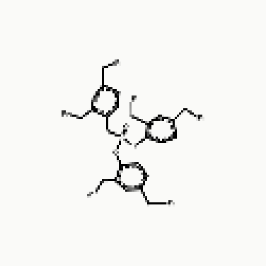 CC(C)Cc1ccc(OP(=O)(Oc2ccc(CC(C)C)cc2CC(C)C)Oc2ccc(CC(C)C)cc2CC(C)C)c(CC(C)C)c1